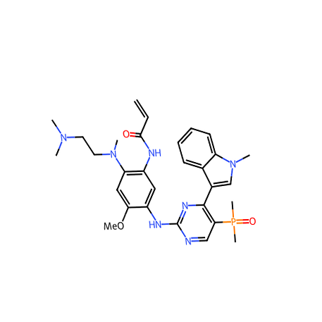 C=CC(=O)Nc1cc(Nc2ncc(P(C)(C)=O)c(-c3cn(C)c4ccccc34)n2)c(OC)cc1N(C)CCN(C)C